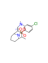 CC1C(=O)/C(=C\N(C)C)C2CCCC1N2S(=O)(=O)c1ccc(Cl)cc1